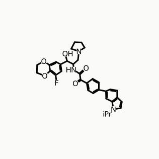 CC(C)n1ccc2ccc(-c3ccc(C(=O)C(=O)NC(CN4CCCC4)C(O)c4cc(F)c5c(c4)OCCO5)cc3)cc21